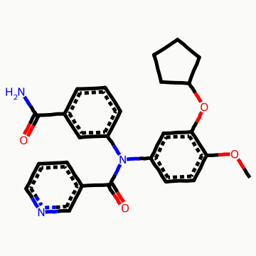 COc1ccc(N(C(=O)c2cccnc2)c2cccc(C(N)=O)c2)cc1OC1CCCC1